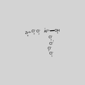 [Cl-].[Cl-].[Cl-].[Cl-].[Cl-].[Cl-].[OH][Al+2].[Zr+4]